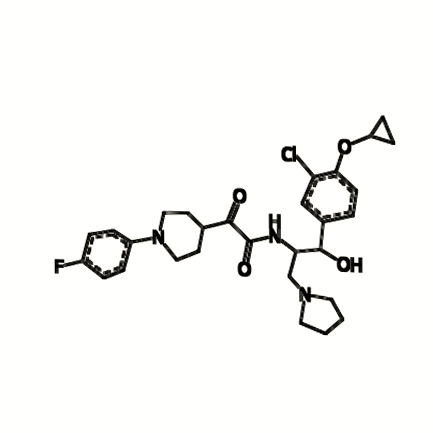 O=C(NC(CN1CCCC1)C(O)c1ccc(OC2CC2)c(Cl)c1)C(=O)C1CCN(c2ccc(F)cc2)CC1